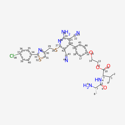 CC(C)[C@H](NC(=O)[C@H](C)N)C(=O)OCCOc1ccc(-c2c(C#N)c(N)nc(SCc3csc(-c4ccc(Cl)cc4)n3)c2C#N)cc1